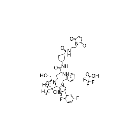 CC(C)(C)[C@H](c1nc(-c2cc(F)ccc2F)cn1Cc1ccccc1)N(CC[C@H](N)C(=O)N[C@@H]1CC[C@@H](C(=O)NCCN2C(=O)C=CC2=O)C1)C(=O)CO.O=C(O)C(F)(F)F